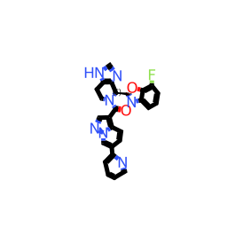 O=C(c1cnn2cc(-c3ccccn3)ccc12)N1CCc2[nH]cnc2[C@H]1c1nc2cccc(F)c2o1